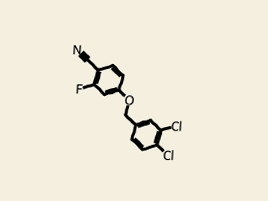 N#Cc1ccc(OCc2ccc(Cl)c(Cl)c2)cc1F